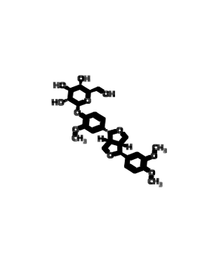 COc1ccc([C@H]2OC[C@H]3[C@@H]2CO[C@H]3c2ccc(O[C@@H]3O[C@H](CO)[C@@H](O)[C@H](O)[C@H]3O)c(OC)c2)cc1OC